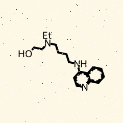 CCN(CCO)CCCCNc1ccnc2ccccc12